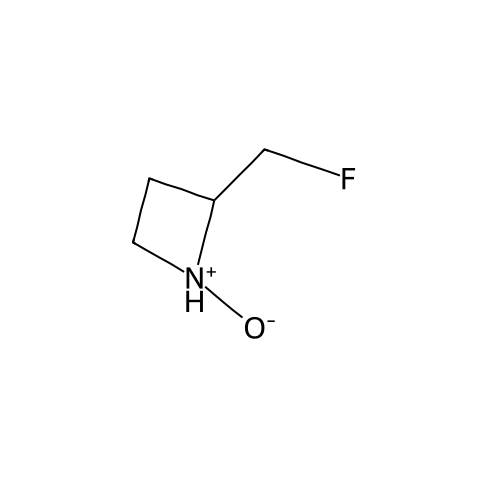 [O-][NH+]1CCC1CF